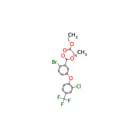 CCOC(=O)[C@H](C)OC(=O)c1cc(Oc2ccc(C(F)(F)F)cc2Cl)ccc1Br